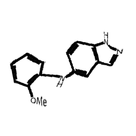 COc1ccc[c]c1Nc1ccc2[nH]ncc2c1